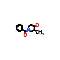 CC1CN(C(=O)c2ccccc2)CCC1=O